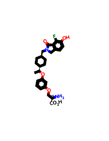 CC(Oc1cccc(OC[C@H](N)C(=O)O)c1)[C@H]1CC[C@H](CN2Cc3ccc(O)c(F)c3C2=O)CC1